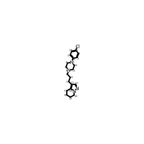 Clc1ccc(N2CCN(CCCc3cnn4c3CCCC4)CC2)cc1